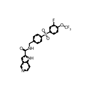 O=C(NCc1ccc(S(=O)(=O)c2ccc(OC(F)(F)F)c(F)c2)cc1)c1cc2cnccc2[nH]1